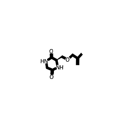 C=C(C)COC[C@H]1NC(=O)CNC1=O